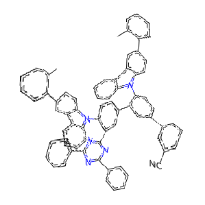 Cc1ccccc1-c1ccc2c(c1)c1ccccc1n2-c1ccc(-c2cccc(C#N)c2)cc1-c1ccc(-n2c3ccccc3c3cc(-c4ccccc4C)ccc32)c(-c2nc(-c3ccccc3)nc(-c3ccccc3)n2)c1